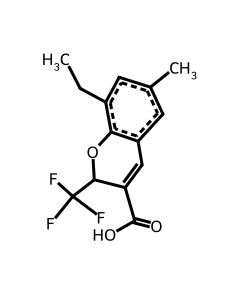 CCc1cc(C)cc2c1OC(C(F)(F)F)C(C(=O)O)=C2